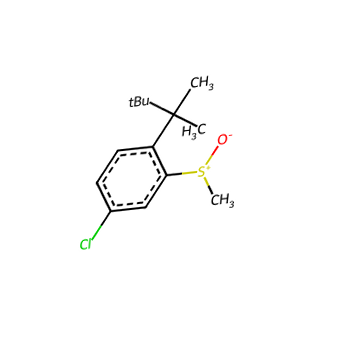 C[S+]([O-])c1cc(Cl)ccc1C(C)(C)C(C)(C)C